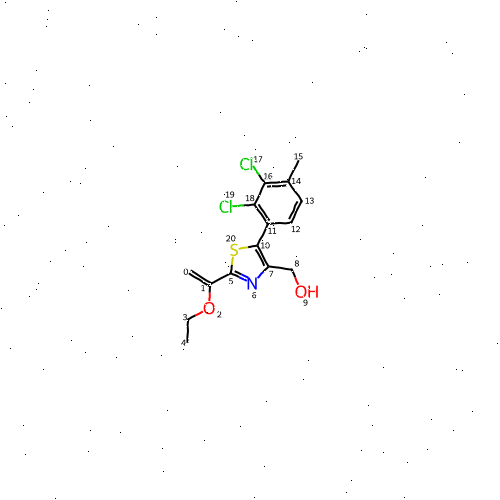 C=C(OCC)c1nc(CO)c(-c2ccc(C)c(Cl)c2Cl)s1